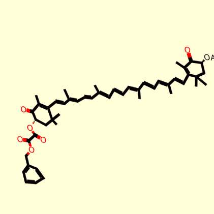 CC(=O)O[C@H]1CC(C)(C)C(/C=C/C(C)=C/C=C/C(C)=C/C=C/C=C(C)/C=C/C=C(C)/C=C/C2=C(C)C(=O)[C@@H](OC(=O)C(=O)OCc3ccccc3)CC2(C)C)=C(C)C1=O